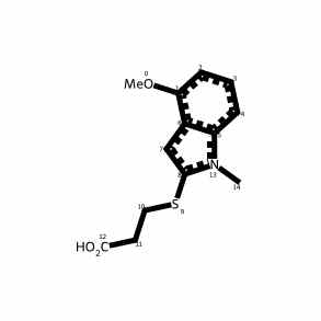 COc1cccc2c1cc(SCCC(=O)O)n2C